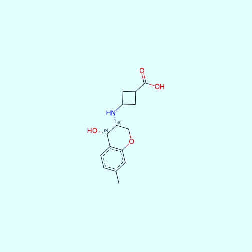 Cc1ccc2c(c1)OC[C@@H](NC1CC(C(=O)O)C1)[C@H]2O